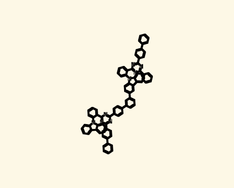 c1ccc(-c2ccc(-c3nc(-c4ccc(-c5cccc(-c6ccc7c(c6)c6ccccc6n7-c6ccccc6-c6nc(-c7ccccc7)nc(-c7ccc(-c8ccccc8)cc7)n6)c5)cc4)nc(-c4ccccc4-n4c5ccccc5c5ccccc54)n3)cc2)cc1